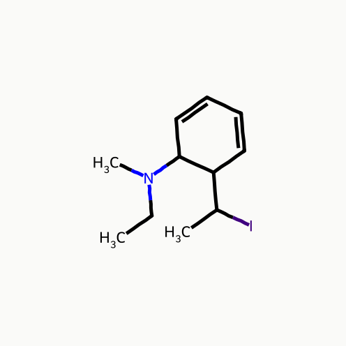 CCN(C)C1C=CC=CC1C(C)I